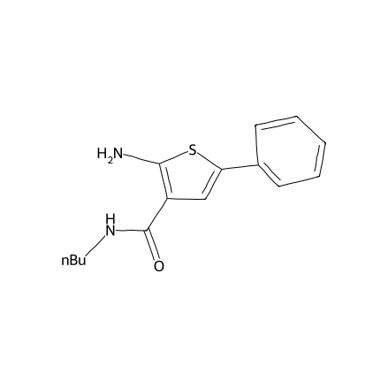 CCCCNC(=O)c1cc(-c2ccccc2)sc1N